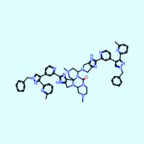 Cc1cccc(-c2nn(Cc3ccccc3)cc2-c2ccnc(-c3nc4c([nH]3)CN(C3CN(C)CCN3C(=O)N3CCN(C)CC3N3Cc5nc(-c6cc(-c7cn(Cc8ccccc8)nc7-c7cccc(C)n7)ccn6)[nH]c5C3)C4)c2)n1